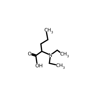 CCCC(C(=O)O)N(CC)CC